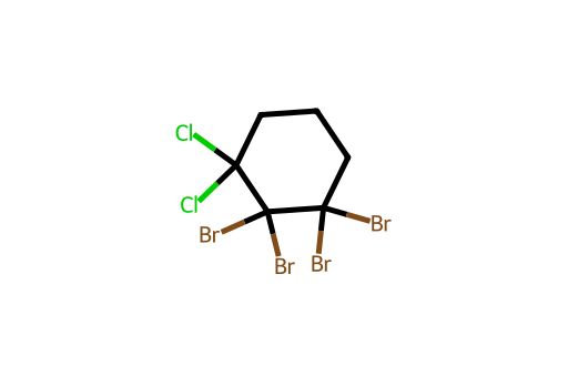 ClC1(Cl)CCCC(Br)(Br)C1(Br)Br